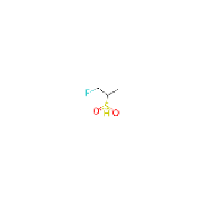 CC(CF)[SH](=O)=O